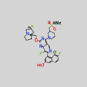 CNS(=O)(=O)CC1CCCN(c2nc(OC[C@@]34CCCN3C[C@H](F)C4)nc3c(F)c(-c4cc(O)cc5ccc(F)c(Cl)c45)ncc23)C1